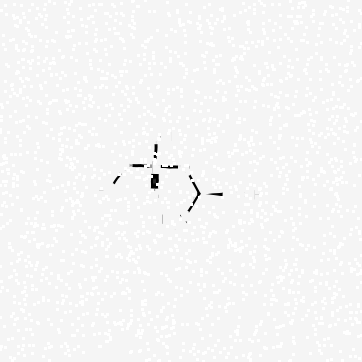 CCOP(=O)(O)O[C@H](N)C(=O)O